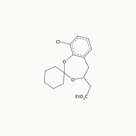 CCOC(=O)CC1Cc2cccc(Cl)c2OC2(CCCCC2)O1